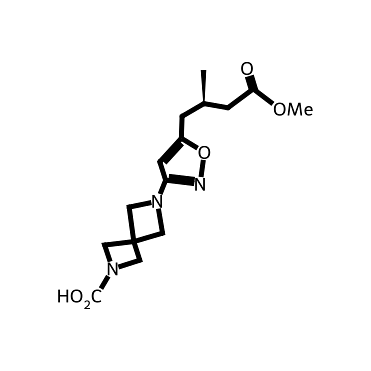 COC(=O)C[C@H](C)Cc1cc(N2CC3(CN(C(=O)O)C3)C2)no1